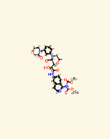 CC(C)(C)OC(=O)N(C(=O)OC(C)(C)C)c1nccc2cc(NC(=O)[C@H](O)[C@H]3OCCN(c4cccc(N5CCOCC5=O)c4)C3=O)ccc12